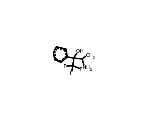 CC(N)C(O)(c1ccccc1)C(F)(F)F